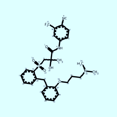 [C-]#[N+]c1ccc(NC(=O)C(C)(O)CS(=O)(=O)c2ccccc2Cc2ccccc2OCCCN(C)C)cc1C(F)(F)F